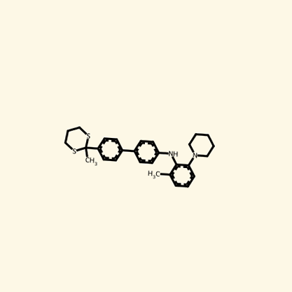 Cc1cccc(N2CCCCC2)c1Nc1ccc(-c2ccc(C3(C)SCCCS3)cc2)cc1